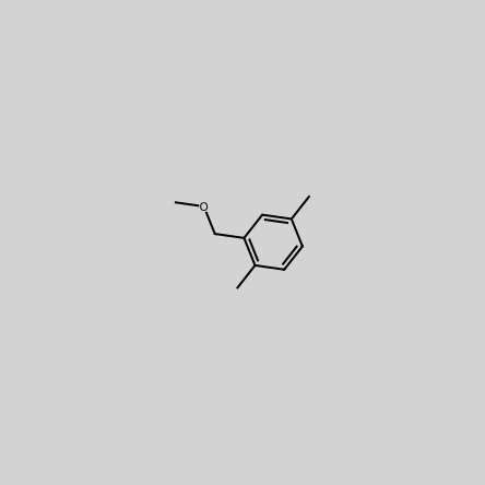 COCc1cc(C)ccc1C